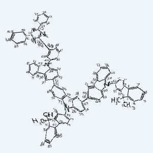 CC1(C)c2ccccc2-c2ccc(-n3c4ccccc4c4cc(-c5ccc6c(c5)c5cc(-c7ccc8c(c7)c7ccccc7n8-c7cccc(-c8nc(-c9ccccc9)nc(-c9ccccc9)n8)c7)ccc5n6-c5ccc6c(c5)C(C)(C)c5ccccc5-6)ccc43)cc21